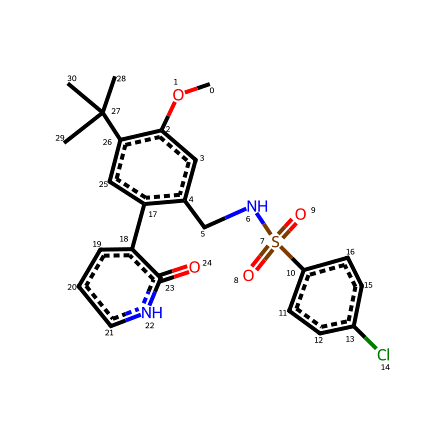 COc1cc(CNS(=O)(=O)c2ccc(Cl)cc2)c(-c2ccc[nH]c2=O)cc1C(C)(C)C